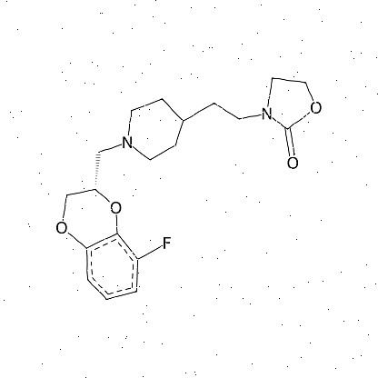 O=C1OCCN1CCC1CCN(C[C@H]2COc3cccc(F)c3O2)CC1